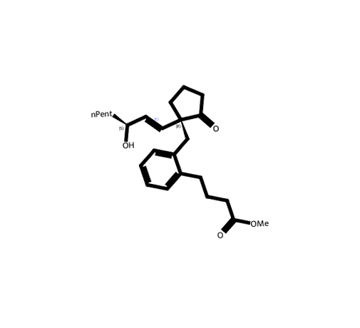 CCCCC[C@H](O)/C=C/[C@]1(Cc2ccccc2CCCC(=O)OC)CCCC1=O